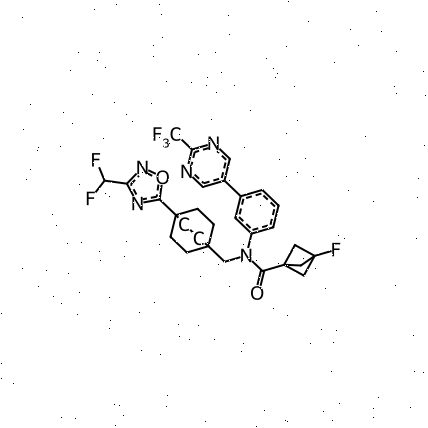 O=C(N(CC12CCC(c3nc(C(F)F)no3)(CC1)CC2)c1cccc(-c2cnc(C(F)(F)F)nc2)c1)C12CC(F)(C1)C2